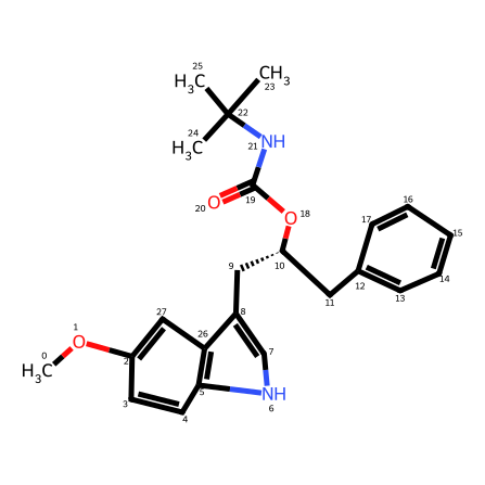 COc1ccc2[nH]cc(C[C@@H](Cc3ccccc3)OC(=O)NC(C)(C)C)c2c1